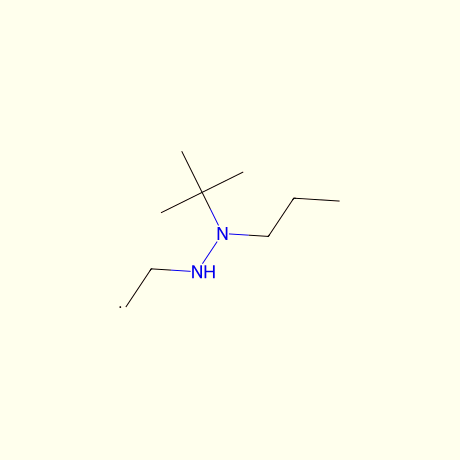 [CH2]CNN(CCC)C(C)(C)C